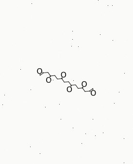 O=C(CCC(=O)CCC(=O)CC1CO1)CCC(=O)CC1CO1